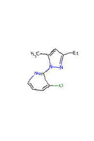 CCc1cc(C)n(-c2ncccc2Cl)n1